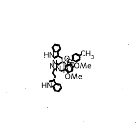 COc1ccc(Cn2c(CCc3c[nH]c4ccccc34)nnc2[C@@H](Cc2c[nH]c3ccccc23)NS(=O)(=O)c2ccc(C)cc2)c(OC)c1